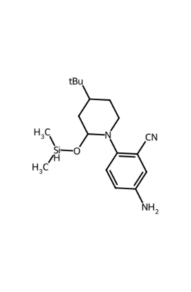 C[SiH](C)OC1CC(C(C)(C)C)CCN1c1ccc(N)cc1C#N